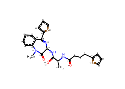 C[C@H](NC(=O)CCCc1cccs1)C(=O)NC1N=C(c2cccs2)c2ccccc2N(C)C1=O